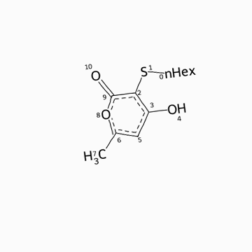 CCCCCCSc1c(O)cc(C)oc1=O